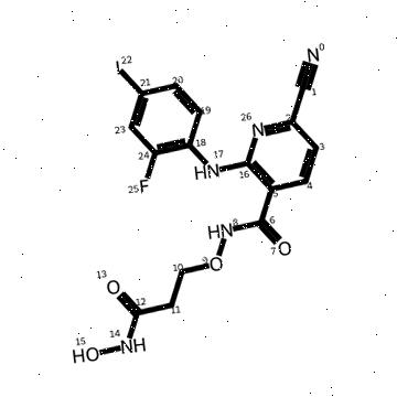 N#Cc1ccc(C(=O)NOCCC(=O)NO)c(Nc2ccc(I)cc2F)n1